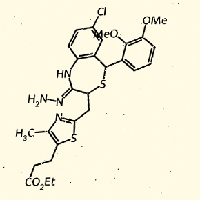 CCOC(=O)CCc1sc(CC2SC(c3cccc(OC)c3OC)c3cc(Cl)ccc3NC2=NN)nc1C